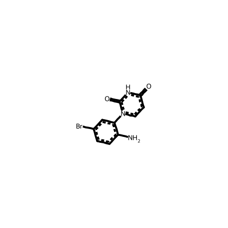 Nc1ccc(Br)cc1-n1ccc(=O)[nH]c1=O